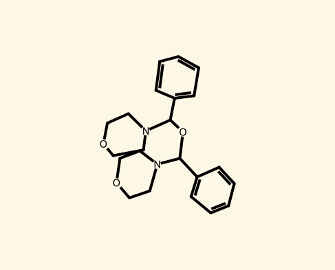 c1ccc(C(OC(c2ccccc2)N2CCOCC2)N2CCOCC2)cc1